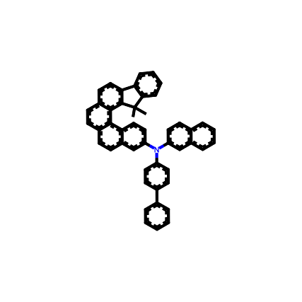 CC1(C)c2ccccc2-c2ccc3ccc4ccc5cc(N(c6ccc(-c7ccccc7)cc6)c6ccc7ccccc7c6)ccc5c4c3c21